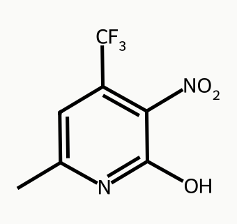 Cc1cc(C(F)(F)F)c([N+](=O)[O-])c(O)n1